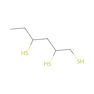 CCC(S)CC(S)CS